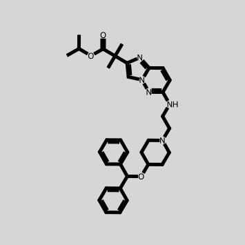 CC(C)OC(=O)C(C)(C)c1cn2nc(NCCN3CCC(OC(c4ccccc4)c4ccccc4)CC3)ccc2n1